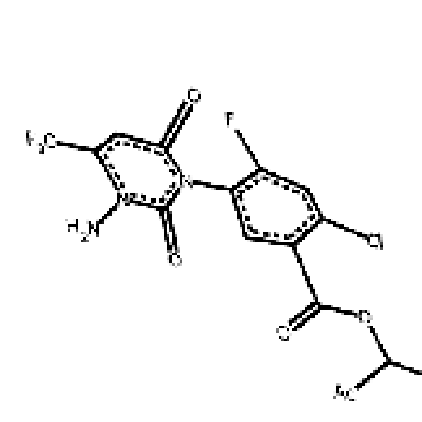 CCC(OC(=O)c1cc(-n2c(=O)cc(C(F)(F)F)n(N)c2=O)c(F)cc1Cl)C(C)=O